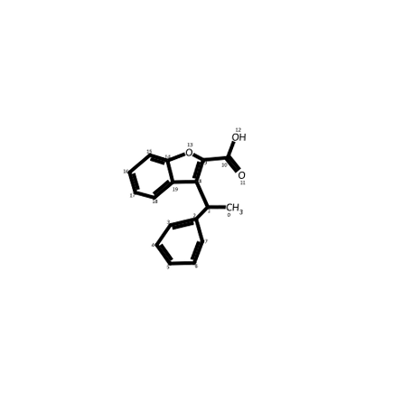 CC(c1ccccc1)c1c(C(=O)O)oc2ccccc12